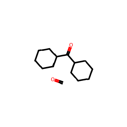 C=O.O=C(C1CCCCC1)C1CCCCC1